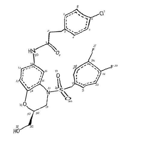 O=C(Cc1ccc(Cl)cc1)Nc1ccc2c(c1)N(S(=O)(=O)c1ccc(F)c(F)c1)C[C@@H](CO)O2